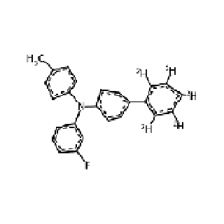 [2H]c1c([2H])c([2H])c(-c2ccc(N(c3ccc(C)cc3)c3cccc(F)c3)cc2)c([2H])c1[2H]